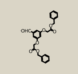 O=[C]c1cc(OCC(=O)OCc2ccccc2)cc(OCC(=O)OCc2ccccc2)c1